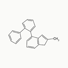 CC1=Cc2c(cccc2-c2ccccc2-c2ccccc2)C1